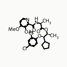 COc1ccnc(C(=O)N[C@@H](C)C(=O)O[C@@H](C)[C@H](Oc2ccc(Cl)cc2Cl)C2CCCC2)c1OC(C)=O